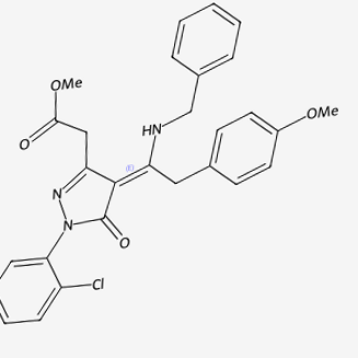 COC(=O)CC1=NN(c2ccccc2Cl)C(=O)/C1=C(\Cc1ccc(OC)cc1)NCc1ccccc1